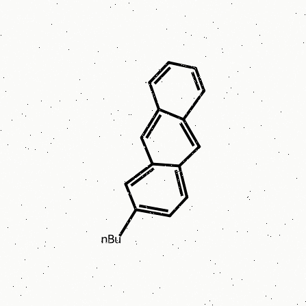 CCCCc1ccc2cc3ccc[c]c3cc2c1